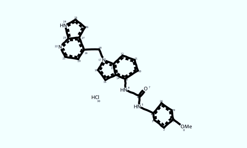 COc1ccc(NC(=O)Nc2cccc3c2ccn3Cc2ccnc3[nH]ccc23)cc1.Cl